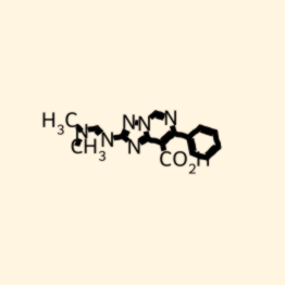 CN(C)/C=N/c1nc2c(C(=O)O)c(-c3ccccc3)ncn2n1